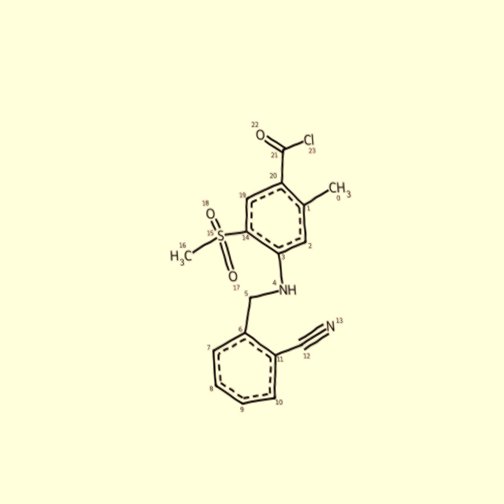 Cc1cc(NCc2ccccc2C#N)c(S(C)(=O)=O)cc1C(=O)Cl